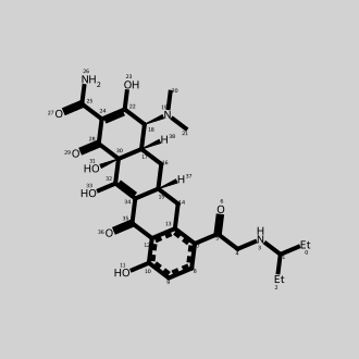 CCC(CC)NCC(=O)c1ccc(O)c2c1C[C@H]1C[C@H]3[C@H](N(C)C)C(O)=C(C(N)=O)C(=O)[C@@]3(O)C(O)=C1C2=O